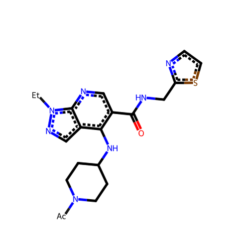 CCn1ncc2c(NC3CCN(C(C)=O)CC3)c(C(=O)NCc3nccs3)cnc21